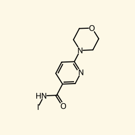 O=C(NI)c1ccc(N2CCOCC2)nc1